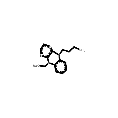 COCN1c2ccccc2N(CCCN)c2nccnc21